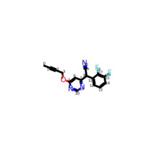 CC#CCOc1cc(C(C#N)c2cccc(F)c2F)ncn1